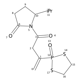 C=C(CC(=O)N1C(=O)CCC1C(C)C)P1(=O)SCCS1